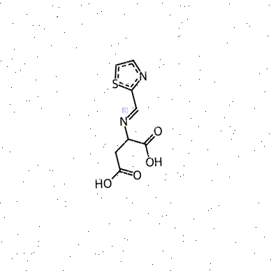 O=C(O)CC(/N=C/c1nccs1)C(=O)O